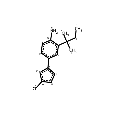 CCC(C)(C)c1cc(-c2ccc(Cl)s2)ccc1N